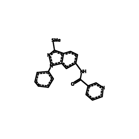 CSc1nn(-c2ccccc2)c2cc(NC(=O)c3cccnc3)ccc12